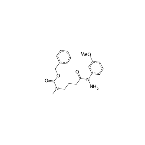 COc1cccc(N(N)C(=O)CCCN(C)C(=O)OCc2ccccc2)c1